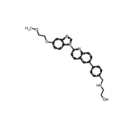 COCCOc1ccc2c(c1)ncn2-c1ccc2cc(-c3ccc(CNCCO)cc3)ccc2n1